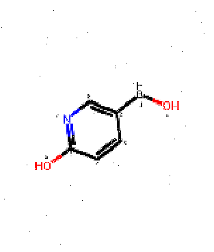 OBc1ccc(O)nc1